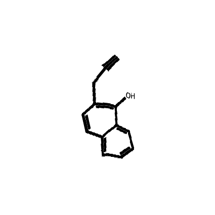 C#CCc1ccc2ccccc2c1O